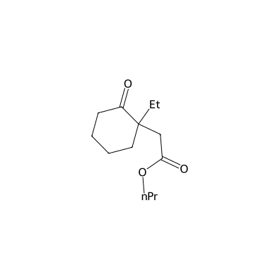 CCCOC(=O)CC1(CC)CCCCC1=O